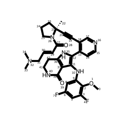 COc1c(F)cc(F)cc1Nc1c(-c2ccncc2C#C[C@]2(C)CCCN2C(=O)/C=C/CN(C)C)[nH]c2c1C(=O)NCC2